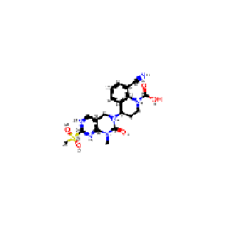 CN1C(=O)N(C2CCN(C(=O)O)c3c(C#N)cccc32)Cc2cnc(S(C)(=O)=O)nc21